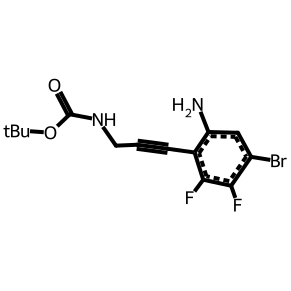 CC(C)(C)OC(=O)NCC#Cc1c(N)cc(Br)c(F)c1F